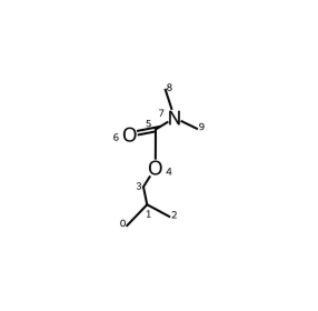 CC(C)COC(=O)N(C)C